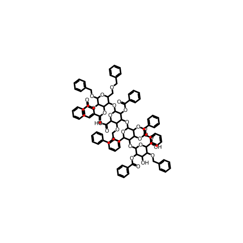 O=C(OC1C(OC2C(COCc3ccccc3)OC(OC3C(OC(=O)c4ccccc4)C(OC4C(COCc5ccccc5)OC(OCc5ccccc5)C(OC(=O)c5ccccc5)C4OC(=O)c4ccccc4)OC(C(=O)O)C3OCc3ccccc3)C(OC(=O)c3ccccc3)C2OC(=O)c2ccccc2)OC(C(=O)O)C(OCc2ccccc2)C1O)c1ccccc1